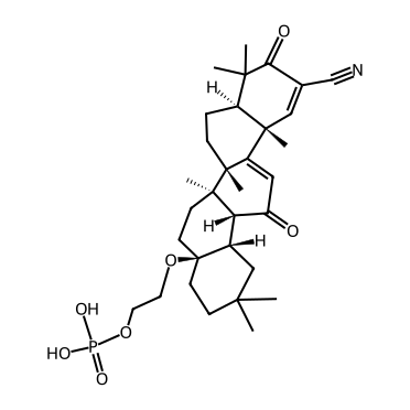 CC1(C)CC[C@]2(OCCOP(=O)(O)O)CC[C@]3(C)[C@H](C(=O)C=C4[C@@]5(C)C=C(C#N)C(=O)C(C)(C)[C@@H]5CC[C@]43C)[C@@H]2C1